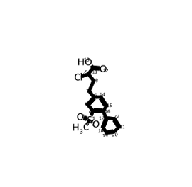 CS(=O)(=O)c1cc(CCC(Cl)C(=O)O)ccc1-c1ccccc1